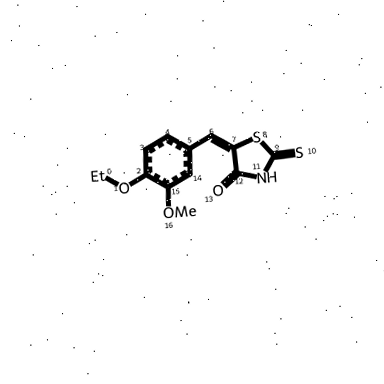 CCOc1ccc(C=C2SC(=S)NC2=O)cc1OC